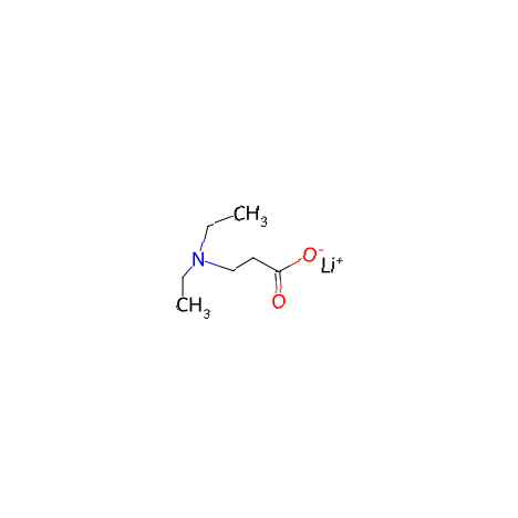 CCN(CC)CCC(=O)[O-].[Li+]